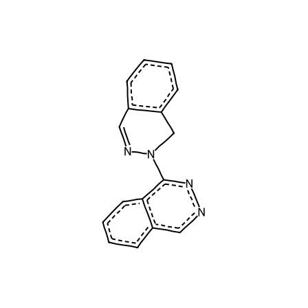 C1=NN(c2nncc3ccccc23)Cc2ccccc21